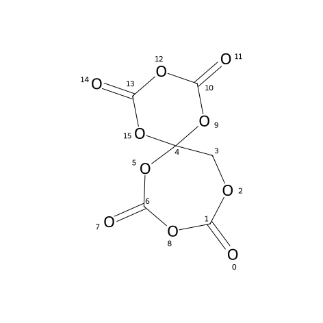 O=C1OCC2(OC(=O)O1)OC(=O)OC(=O)O2